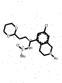 CC(=O)N1CCc2c(cc(Cl)cc2[C@H](CCC2OCCCO2)N[S@@+]([O-])C(C)(C)C)C1